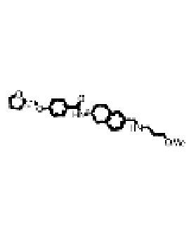 COCCCNCc1ccc2c(c1)CC[C@H](NC(=O)c1ccc(OC[C@@H]3CCCO3)cc1)C2